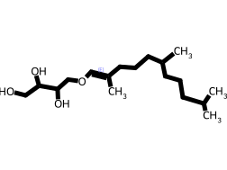 C/C(=C\OCC(O)C(O)CO)CCCC(C)CCCC(C)C